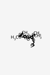 CCOP(=O)(Cc1ccc(NC(=O)c2cc(OCCc3ccsc3)cc(OC(C)C)c2)nc1)OCC